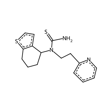 NC(=S)N(CCc1ccccn1)C1CCCc2sccc21